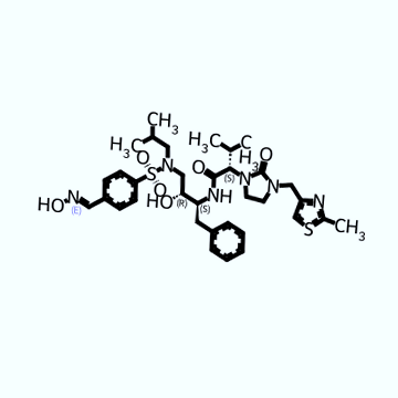 Cc1nc(CN2CCN([C@H](C(=O)N[C@@H](Cc3ccccc3)[C@H](O)CN(CC(C)C)S(=O)(=O)c3ccc(/C=N/O)cc3)C(C)C)C2=O)cs1